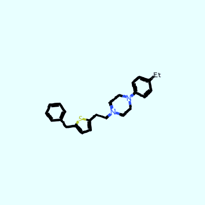 CCc1ccc(N2CCN(CCc3ccc(Cc4ccccc4)s3)CC2)cc1